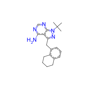 CC(C)(C)n1nc(Cc2cccc3c2CCCC3)c2c(N)ncnc21